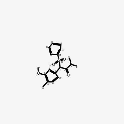 COc1cc(C(C(=O)C(C)C)S(=O)(=O)c2ccccc2)ccc1C